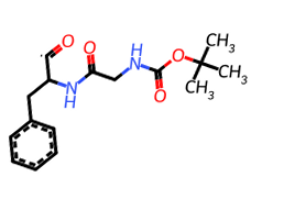 CC(C)(C)OC(=O)NCC(=O)NC([C]=O)Cc1ccccc1